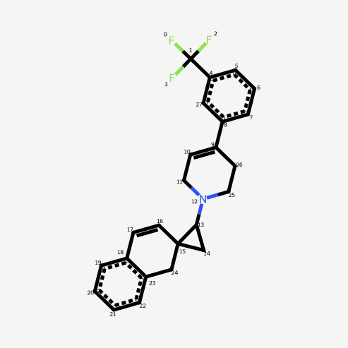 FC(F)(F)c1cccc(C2=CCN(C3CC34C=Cc3ccccc3C4)CC2)c1